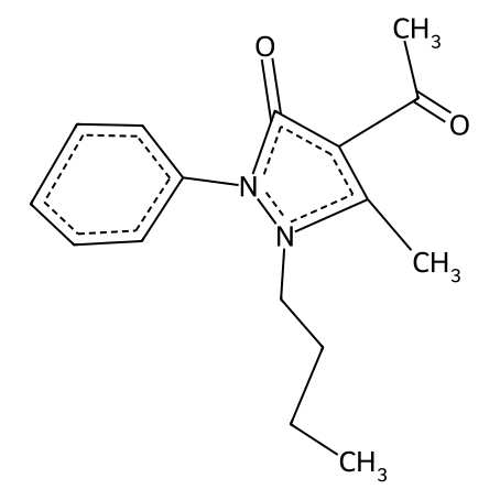 CCCCn1c(C)c(C(C)=O)c(=O)n1-c1ccccc1